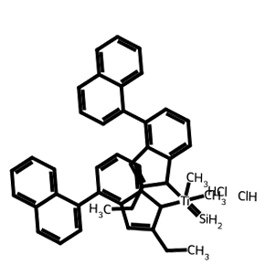 CCC1=Cc2c(-c3cccc4ccccc34)cccc2[CH]1[Ti]([CH3])([CH3])(=[SiH2])[CH]1C(CC)=Cc2c(-c3cccc4ccccc34)cccc21.Cl.Cl